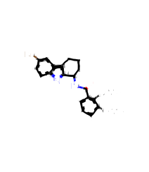 COc1cccc(C(=O)NC2CCCc3c2[nH]c2ccc(Br)cc32)c1OC